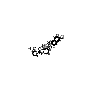 CC1CCCN1C(=O)CN1CCC[C@H](NS(=O)(=O)c2ccc3cc(Cl)ccc3c2)C1=O